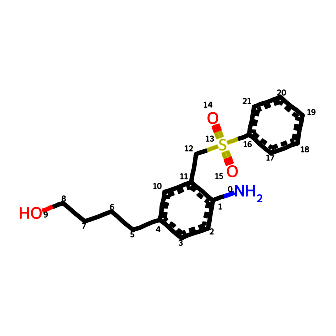 Nc1ccc(CCCCO)cc1CS(=O)(=O)c1ccccc1